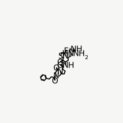 CCc1csc(C(=O)C(CCCNC(=N)N)NC(=O)C2CCC3CN(C(=O)CCc4ccccc4)CC(=O)N32)n1